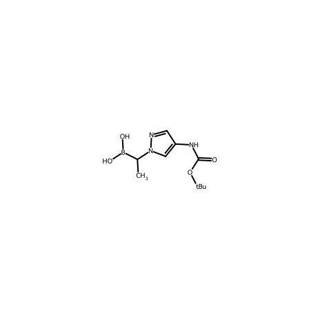 CC(B(O)O)n1cc(NC(=O)OC(C)(C)C)cn1